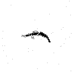 CCCCCCCCCCCCCC(C)OC(=O)CCNCCOCCO